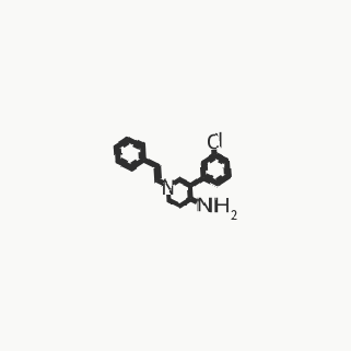 NC1CCN(C=Cc2ccccc2)CC1c1cccc(Cl)c1